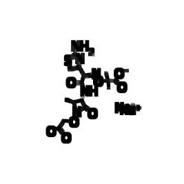 C[C@H]1[C@H](NC(=O)/C(=N\OC(C)(C)C(=O)[O-])c2csc(N)n2)C(=O)N1OCC(=O)[O-].[Na+].[Na+]